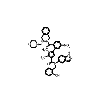 Cc1c(C(=O)N(Cc2ccccc2C#N)c2ccc3[nH]ncc3c2)cc(-c2cc([N+](=O)[O-])ccc2C(=O)N2Cc3ccccc3C[C@H]2CN2CCOCC2)n1C